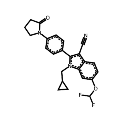 N#Cc1c(-c2ccc(N3CCCC3=O)cc2)n(CC2CC2)c2cc(OC(F)F)ccc12